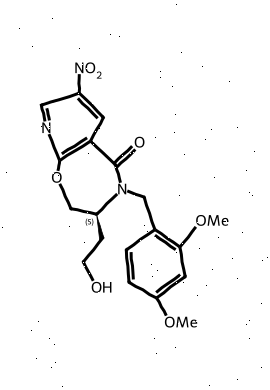 COc1ccc(CN2C(=O)c3cc([N+](=O)[O-])cnc3OC[C@@H]2CCO)c(OC)c1